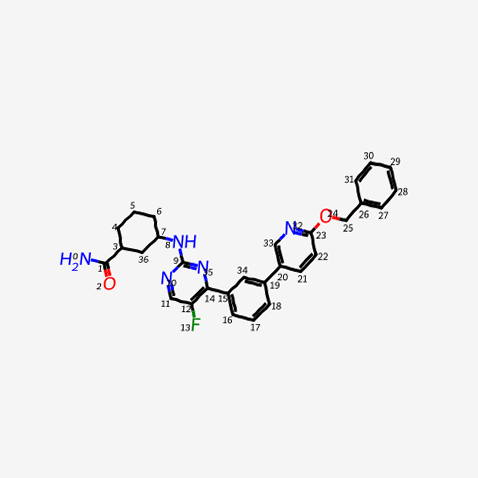 NC(=O)C1CCCC(Nc2ncc(F)c(-c3cccc(-c4ccc(OCc5ccccc5)nc4)c3)n2)C1